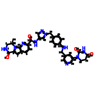 C[C@@H]1CNC(=O)c2cc3ccc(C(=O)Nc4cnn(Cc5ccc(NCc6cncc(N7CCC(=O)NC7=O)c6)cc5)c4)nc3n21